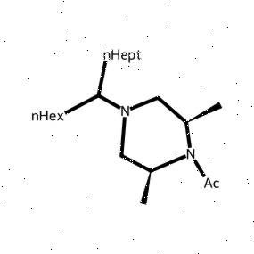 CCCCCCCC(CCCCCC)N1C[C@@H](C)N(C(C)=O)[C@@H](C)C1